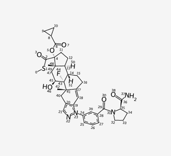 CSC(=O)[C@@]1(OC(=O)C2CC2)CC[C@H]2[C@@H]3CCC4=Cc5c(cnn5-c5cccc(C(=O)N6CCC[C@@H]6C(N)=O)c5)C[C@]4(C)[C@@]3(F)[C@@H](O)C[C@@]21C